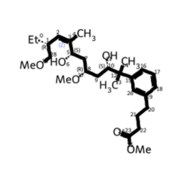 CC[C@H](/C=C(/C)[C@@H](O)C[C@H](C[C@H](O)C(C)(C)c1cccc(CCCC(=O)OC)c1)OC)COC